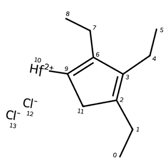 CCC1=C(CC)C(CC)=[C]([Hf+2])C1.[Cl-].[Cl-]